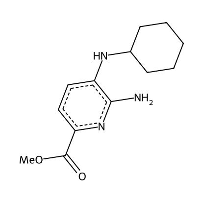 COC(=O)c1ccc(NC2CCCCC2)c(N)n1